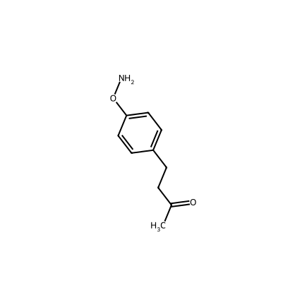 CC(=O)CCc1ccc(ON)cc1